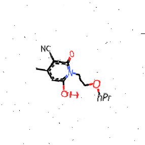 CCCOCCn1c(O)cc(C)c(C#N)c1=O